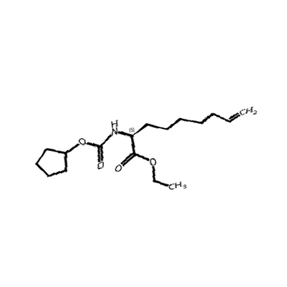 C=CCCCCC[C@H](NC(=O)OC1CCCC1)C(=O)OCC